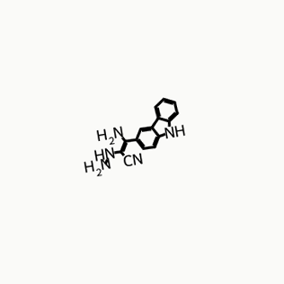 N#C/C(NN)=C(/N)c1ccc2[nH]c3ccccc3c2c1